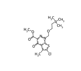 COC(=O)c1nn(COCC[Si](C)(C)C)c2sc(Cl)c(C)c2c1=O